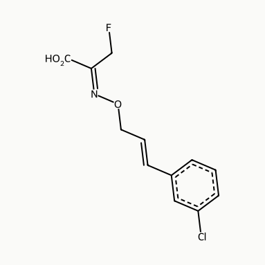 O=C(O)C(CF)=NOCC=Cc1cccc(Cl)c1